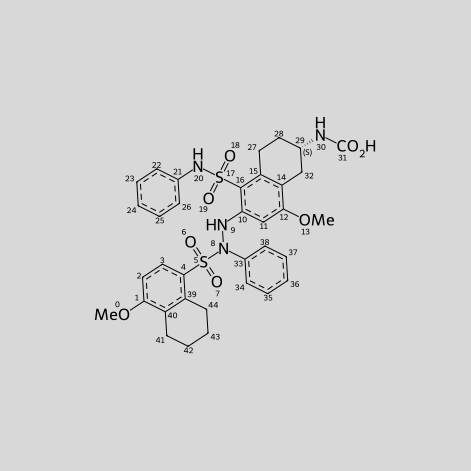 COc1ccc(S(=O)(=O)N(Nc2cc(OC)c3c(c2S(=O)(=O)Nc2ccccc2)CC[C@H](NC(=O)O)C3)c2ccccc2)c2c1CCCC2